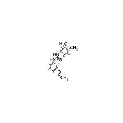 CCOc1cccc(NC(=O)Nc2ccc(C)c(C)c2)c1